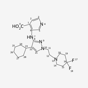 O=C(O)c1ccncc1Nc1nn(CCN2CCC(F)(F)CC2)cc1C1CCCCC1